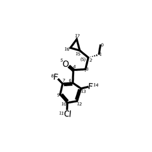 CC[C@H]([CH]C(=O)c1c(F)cc(Cl)cc1F)C1CC1